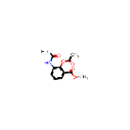 COC(=O)c1cccc(NC(C)=O)c1OC(C)=O